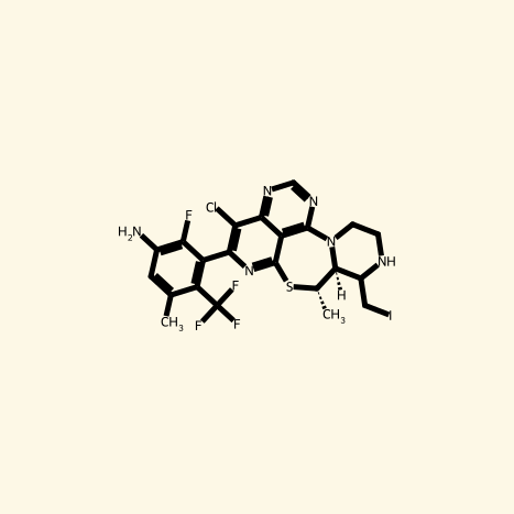 Cc1cc(N)c(F)c(-c2nc3c4c(ncnc4c2Cl)N2CCNC(CI)[C@H]2[C@H](C)S3)c1C(F)(F)F